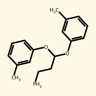 Cc1cccc(OC(CCP)Oc2cccc(C)c2)c1